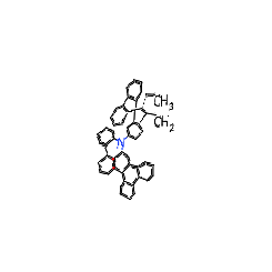 C=CC1=C(/C=C\C)C2(c3cc(N(c4ccc5c6ccccc6c6ccccc6c5c4)c4ccccc4-c4ccccc4)ccc31)c1ccccc1-c1ccccc12